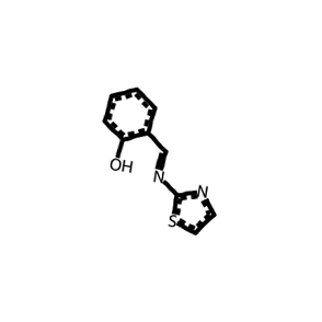 Oc1ccccc1C=Nc1nccs1